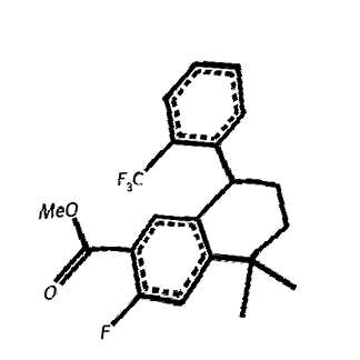 COC(=O)c1cc2c(cc1F)C(C)(C)CCC2c1ccccc1C(F)(F)F